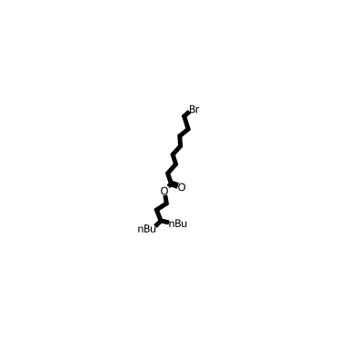 CCCCC(CCCC)CCOC(=O)CCCCCCCBr